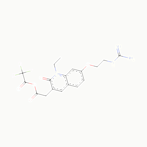 CCn1c(=O)c(CC(=O)OC(=O)C(F)(F)F)cc2ccc(OCCNC(=N)N)cc21